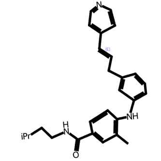 Cc1cc(C(=O)NCCC(C)C)ccc1Nc1cccc(C/C=C/c2ccncc2)c1